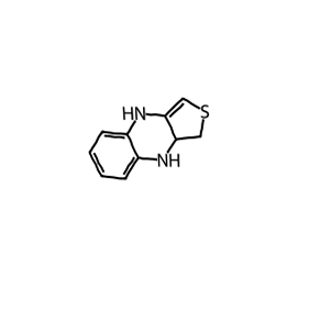 C1=C2Nc3ccccc3NC2CS1